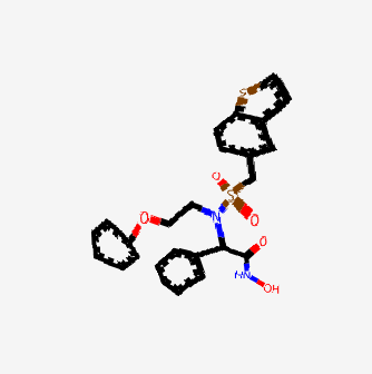 O=C(NO)C(c1ccccc1)N(CCOc1ccccc1)S(=O)(=O)Cc1ccc2sccc2c1